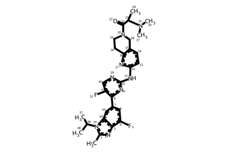 Cc1nc2c(F)cc(-c3nc(Nc4ccc5c(n4)CCN(C(=O)C(C)N(C)C)C5)ncc3F)cc2n1C(C)C